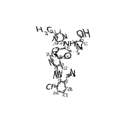 Cc1cnc(NC(=O)[C@H](CN2CC(O)C2)Oc2ncnc3nn(-c4c(Cl)cccc4C#N)cc23)cn1